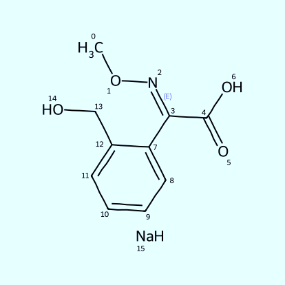 CO/N=C(/C(=O)O)c1ccccc1CO.[NaH]